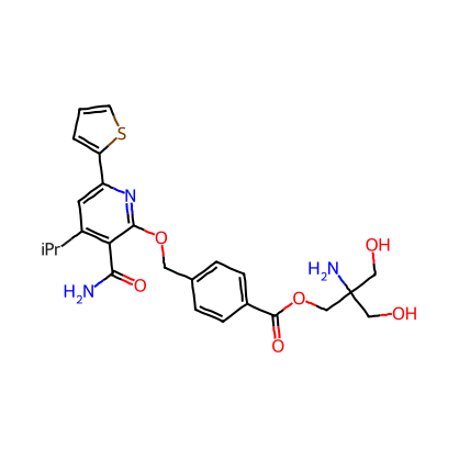 CC(C)c1cc(-c2cccs2)nc(OCc2ccc(C(=O)OCC(N)(CO)CO)cc2)c1C(N)=O